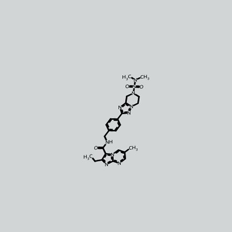 CCc1nc2ncc(C)cn2c1C(=O)NCc1ccc(-c2nc3n(n2)CCN(S(=O)(=O)N(C)C)C3)cc1